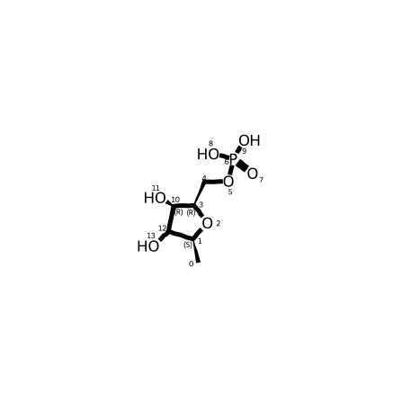 C[C@@H]1O[C@H](COP(=O)(O)O)[C@H](O)C1O